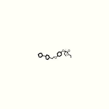 CCOC(=O)[C@@](C)(CC)Oc1ccc(OCCc2ccc(-c3ccccc3)cc2)cc1